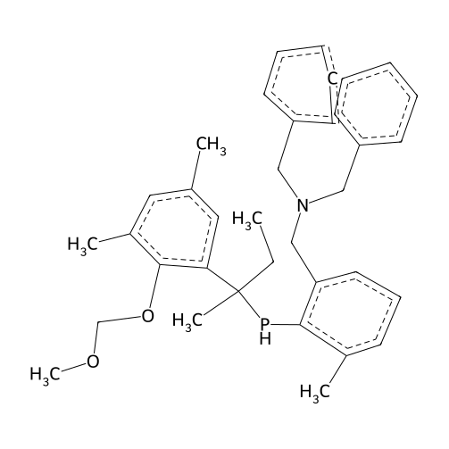 CCC(C)(Pc1c(C)cccc1CN(Cc1ccccc1)Cc1ccccc1)c1cc(C)cc(C)c1OCOC